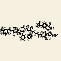 Cc1ncsc1-c1ccc(C(C)NC(=O)[C@@H]2C[C@@H](O)CN2C(=O)C(NC(=O)CCCCNC(=O)CC(=O)N2CCN(C(=O)C(NC(=O)c3cc4cc(C(F)(F)P(=O)(O)O)ccc4s3)C(C)(C)C)[C@H](C(=O)N3CCC[C@H](c4ccccc4)C3)C2)C(C)(C)C)cc1